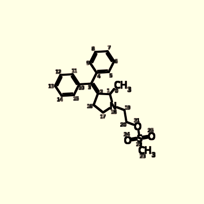 CC1C(=C(c2ccccc2)c2ccccc2)CCN1CCOS(C)(=O)=O